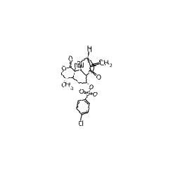 C=C1C(=O)[C@]23CC[C@H]1CC2C1(CCCC)C(=O)OC[C@@H](C)C1C[C@H]3OS(=O)(=O)c1ccc(Cl)cc1